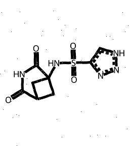 O=C1NC(=O)C2(NS(=O)(=O)c3c[nH]nn3)CC1C2